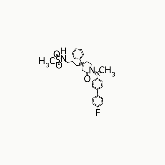 C[C@@H](c1ccc(-c2ccc(F)cc2)cc1)N1CC[C@@](CCCNS(C)(=O)=O)(c2ccccc2)CC1=O